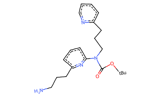 CC(C)(C)OC(=O)N(CCCc1ccccn1)c1cccc(CCCN)n1